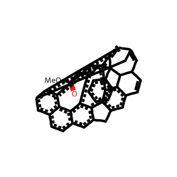 COC(=O)CCCC1(c2ccccc2)c2c3c4c5cc6ccc7cc8c9c%10c(cc%11c(c%10c2c2c4c6c7c92)C1C(C=C%11)C=C3C5)C8